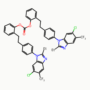 CCc1nc2cc(C(F)(F)F)c(Cl)cc2n1-c1ccc(CCc2ccccc2OC(=O)Oc2ccccc2CCc2ccc(-n3c(CC)nc4cc(C(F)(F)F)c(Cl)cc43)cc2)cc1